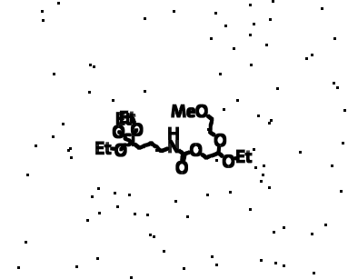 CCOC(COC(=O)NCCC[Si](OCC)(OCC)OCC)OCCOC